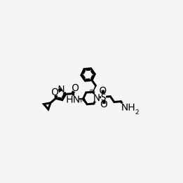 NCCCS(=O)(=O)N1CC[C@@H](NC(=O)c2cc(C3CC3)on2)C[C@H]1Cc1ccccc1